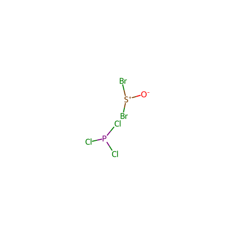 ClP(Cl)Cl.[O-][S+](Br)Br